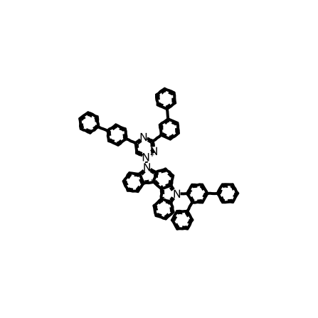 c1ccc(-c2ccc(-c3c[n+](-n4c5ccccc5c5c6c7ccccc7n(-c7ccc(-c8ccccc8)cc7-c7ccccc7)c6ccc54)nc(-c4cccc(-c5ccccc5)c4)n3)cc2)cc1